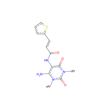 CCCn1c(N)c(NC(=O)/C=C/c2cccs2)c(=O)n(CCC)c1=O